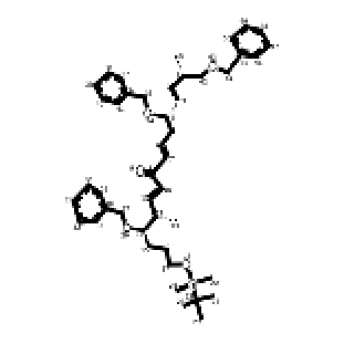 C[C@@H](CC[C@H](C/C=C/C(=O)/C=C/[C@H](C)[C@@H](CCCO[Si](C)(C)C(C)(C)C)OCc1ccccc1)OCc1ccccc1)COCc1ccccc1